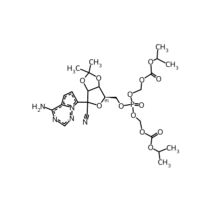 CC(C)OC(=O)OCOP(=O)(OCOC(=O)OC(C)C)OC[C@H]1OC(C#N)(c2ccc3c(N)ncnn23)C2OC(C)(C)OC21